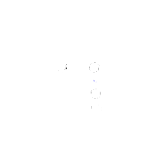 COC(=O)c1ccc(/C=C/c2cc3c(cc2CCCO[Si](C)(C)C(C)(C)C)C(C)(C)CCC3(C)C)cc1